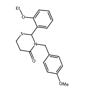 CCOc1ccccc1C1SCCC(=O)N1Cc1ccc(OC)cc1